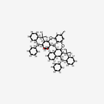 Cc1cc2c3c(c1)Oc1c4c(c5ccccc5c1B3c1c(c3c(c5ccccc15)N(c1ccccc1)c1ccccc1C3(C)C)O2)N(c1ccccc1)c1ccccc1C4(C)C